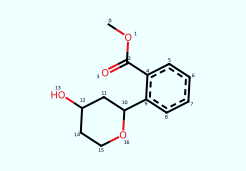 COC(=O)c1ccccc1C1CC(O)CCO1